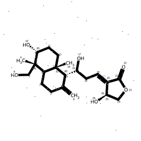 C=C1CCC2[C@](C)(CO)[C@H](O)CC[C@]2(C)[C@@H]1C(O)C/C=C1/C(=O)OC[C@H]1O